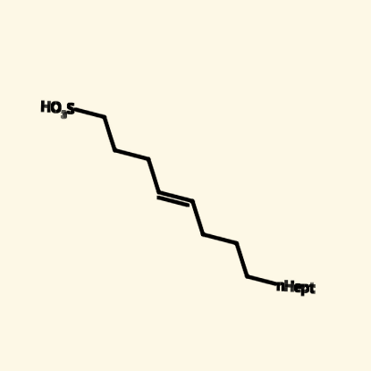 CCCCCCCCCCC=CCCCS(=O)(=O)O